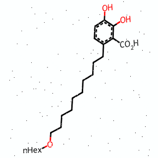 CCCCCCOCCCCCCCCCCc1ccc(O)c(O)c1C(=O)O